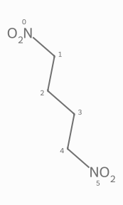 O=[N+]([O-])CCCC[N+](=O)[O-]